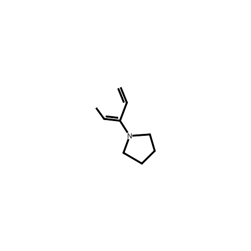 C=CC(=CC)N1CCCC1